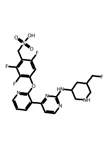 O=S(=O)(O)Cc1c(F)cc(Oc2ncccc2-c2ccnc(NC3CNCC(CF)C3)n2)c(F)c1F